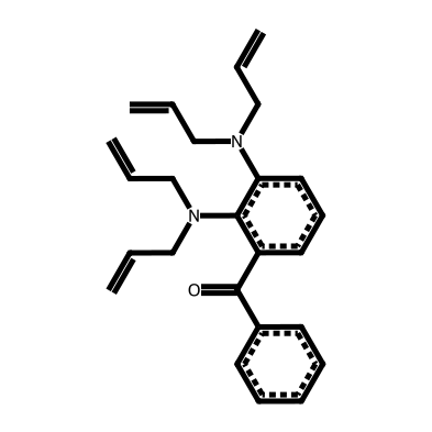 C=CCN(CC=C)c1cccc(C(=O)c2ccccc2)c1N(CC=C)CC=C